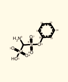 NC(S(=O)(=O)O)S(=O)(=O)Oc1ccccc1